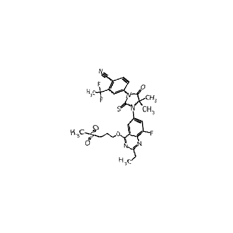 CCc1nc(OCCCS(C)(=O)=O)c2cc(N3C(=S)N(c4ccc(C#N)c(C(C)(F)F)c4)C(=O)C3(C)C)cc(F)c2n1